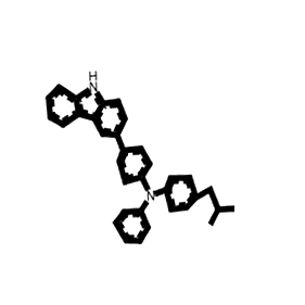 CC(C)Cc1ccc(N(c2ccccc2)c2ccc(-c3ccc4[nH]c5ccccc5c4c3)cc2)cc1